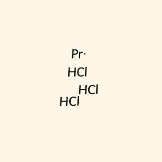 Cl.Cl.Cl.[Pr]